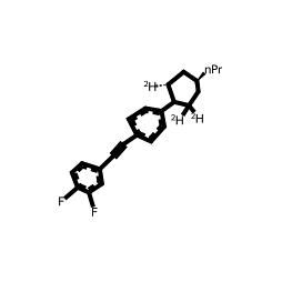 [2H][C@@H]1C[C@@H](CCC)CC([2H])([2H])C1c1ccc(C#Cc2ccc(F)c(F)c2)cc1